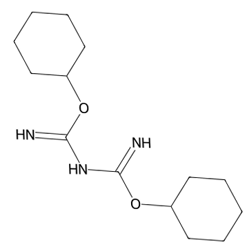 N=C(NC(=N)OC1CCCCC1)OC1CCCCC1